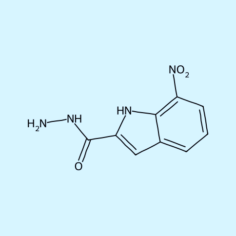 NNC(=O)c1cc2cccc([N+](=O)[O-])c2[nH]1